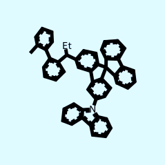 CCC(c1ccc2c(c1)-c1cc(-n3c4ccccc4c4ccccc43)ccc1C21c2ccccc2-c2ccccc21)c1ccccc1-c1ccccc1C